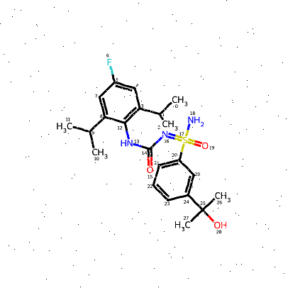 CC(C)c1cc(F)cc(C(C)C)c1NC(=O)N=S(N)(=O)c1cccc(C(C)(C)O)c1